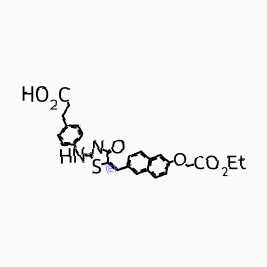 CCOC(=O)COc1ccc2cc(/C=C3/SC(Nc4ccc(CCC(=O)O)cc4)=NC3=O)ccc2c1